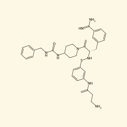 C=C(CCN)Nc1cccc(SN[C@@H](Cc2cccc(C(=N)N)c2)C(=C)N2CCC(NC(=O)NCc3ccccc3)CC2)c1